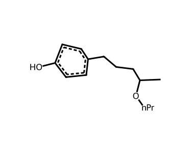 CCCOC(C)CCCc1ccc(O)cc1